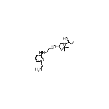 CCC(=N)N1CC(NCCCNc2cccc(SN)n2)CC1(C)C